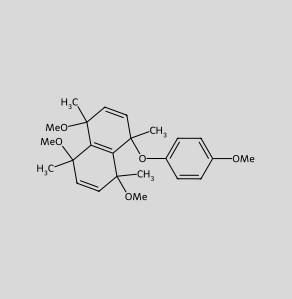 COc1ccc(OC2(C)C=CC(C)(OC)C3=C2C(C)(OC)C=CC3(C)OC)cc1